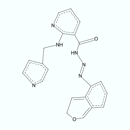 O=C(NN=Nc1cccc2c1=CCOC=2)c1cccnc1NCc1ccncc1